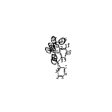 O=C(c1ccccc1)c1cccc(S(=O)(=O)Cl)c1S(=O)(=O)Cl